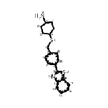 NC1CCC(SCc2ccc(-c3nc4ccccc4s3)cc2)CC1